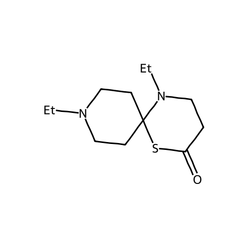 CCN1CCC2(CC1)SC(=O)CCN2CC